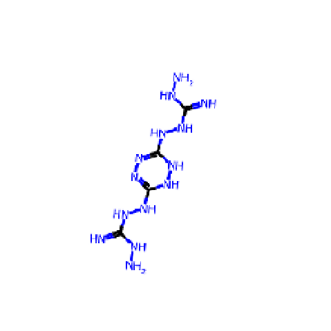 N=C(NN)NNC1=NN=C(NNC(=N)NN)NN1